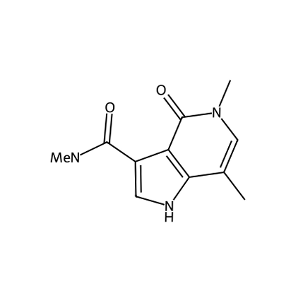 CNC(=O)c1c[nH]c2c(C)cn(C)c(=O)c12